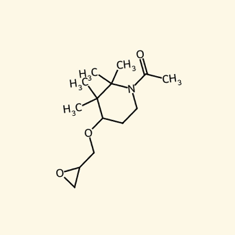 CC(=O)N1CCC(OCC2CO2)C(C)(C)C1(C)C